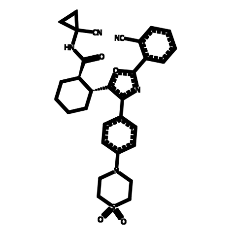 N#Cc1ccccc1-c1nc(-c2ccc(N3CCS(=O)(=O)CC3)cc2)c([C@@H]2CCCC[C@H]2C(=O)NC2(C#N)CC2)o1